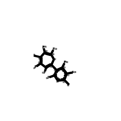 CC1=C(F)C(F)=C(c2c(F)cc(C)c(F)c2F)CC(F)=C1F